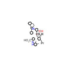 CC(C)Cc1ccc(CC(=O)O)cc1.Cc1cccc(Nc2ccccc2C(=O)O)c1C.O=C(O)c1cc(-n2c(-c3ccccc3)cc3c2CCc2ccccc2-3)ccc1O